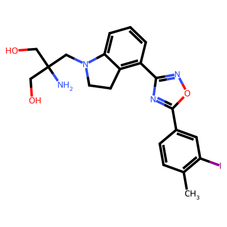 Cc1ccc(-c2nc(-c3cccc4c3CCN4CC(N)(CO)CO)no2)cc1I